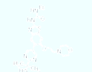 CCNC(=O)Nc1nc2cc(-c3cnc(C(C)(C)O)nc3)c(OCCN3CCOCC3)cc2s1